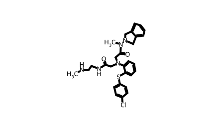 CNCCNC(=O)CN(CC(=O)N(C)N1Cc2ccccc2C1)c1ccccc1Sc1ccc(Cl)cc1